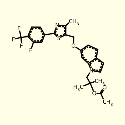 CC(=O)OC(C)(C)Cn1ccc2ccc(OCc3sc(-c4ccc(C(F)(F)F)c(F)c4)nc3C)cc21